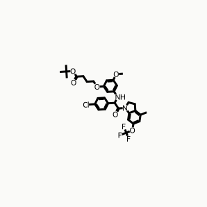 COc1cc(NC(C(=O)N2CCc3c(C)cc(OC(F)(F)F)cc32)c2ccc(Cl)cc2)cc(OCCCC(=O)OC(C)(C)C)c1